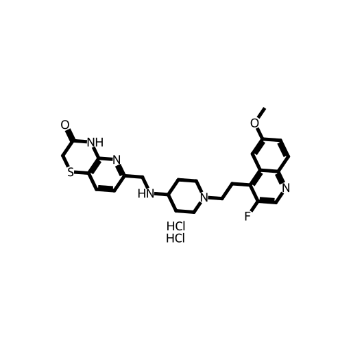 COc1ccc2ncc(F)c(CCN3CCC(NCc4ccc5c(n4)NC(=O)CS5)CC3)c2c1.Cl.Cl